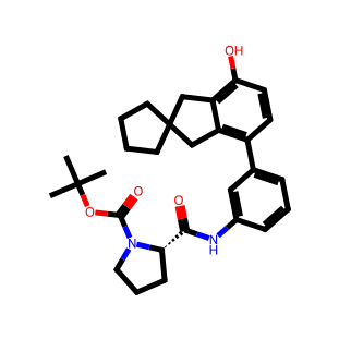 CC(C)(C)OC(=O)N1CCC[C@H]1C(=O)Nc1cccc(-c2ccc(O)c3c2CC2(CCCC2)C3)c1